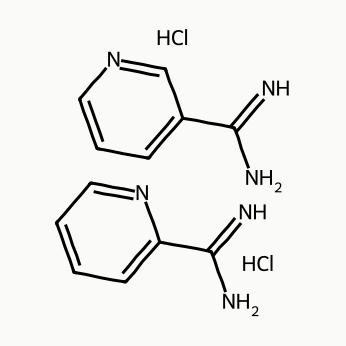 Cl.Cl.N=C(N)c1ccccn1.N=C(N)c1cccnc1